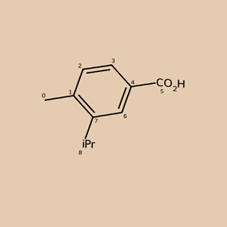 Cc1ccc(C(=O)O)cc1C(C)C